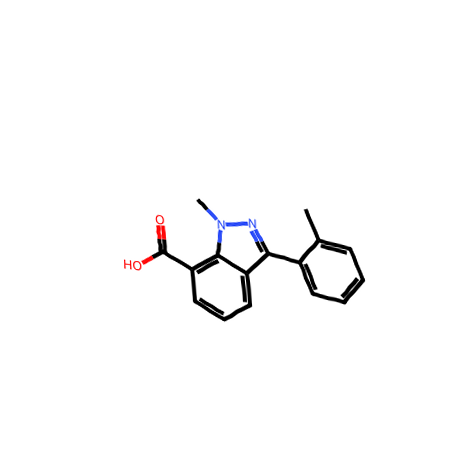 Cc1ccccc1-c1nn(C)c2c(C(=O)O)cccc12